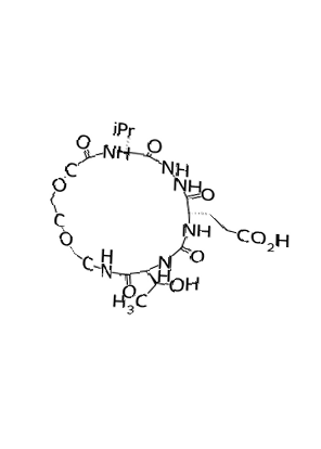 CC(O)[C@@H]1NC(=O)N[C@@H](CCC(=O)O)C(=O)NNC(=O)[C@@H](C(C)C)NC(=O)COCCOCCNC1=O